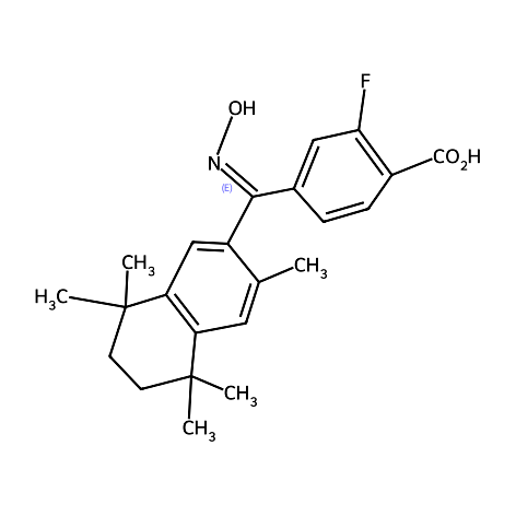 Cc1cc2c(cc1/C(=N/O)c1ccc(C(=O)O)c(F)c1)C(C)(C)CCC2(C)C